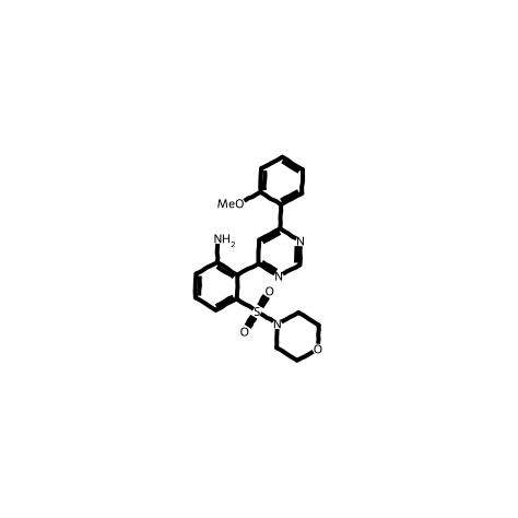 COc1ccccc1-c1cc(-c2c(N)cccc2S(=O)(=O)N2CCOCC2)ncn1